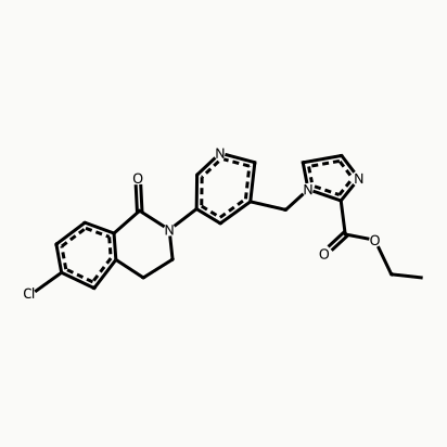 CCOC(=O)c1nccn1Cc1cncc(N2CCc3cc(Cl)ccc3C2=O)c1